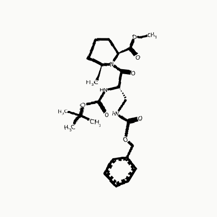 COC(=O)[C@@H]1CCC[C@H](C)N1C(=O)[C@H](CNC(=O)OCc1ccccc1)NC(=O)OC(C)(C)C